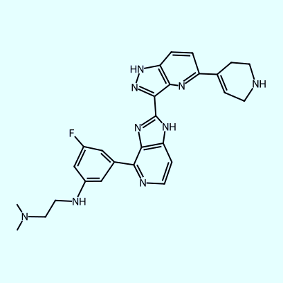 CN(C)CCNc1cc(F)cc(-c2nccc3[nH]c(-c4n[nH]c5ccc(C6=CCNCC6)nc45)nc23)c1